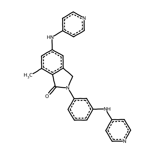 Cc1cc(Nc2ccncc2)cc2c1C(=O)N(c1cccc(Nc3ccncc3)c1)C2